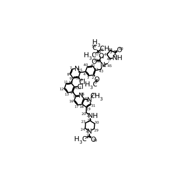 COc1cc(-c2nccc(-c3cccc(-c4ccc5c(CNC6CCN(C(C)=O)CC6)cn(C)c5n4)c3Cl)c2Cl)ccc1CN(C[C@@H]1CCC(=O)N1)C(=O)OC(C)(C)C